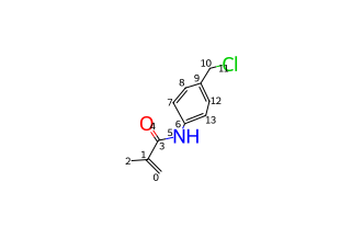 C=C(C)C(=O)Nc1ccc(CCl)cc1